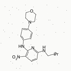 CC(C)CNc1ccc([N+](=O)[O-])c(Nc2ccc(N3CCOCC3)cc2)n1